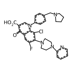 O=C(O)c1cn(-c2ccc(CN3CCCC3)cc2)c2c(Cl)c(N3CCN(c4ccccn4)CC3)c(F)cc2c1=O